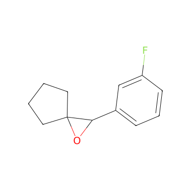 Fc1cccc(C2OC23CCCC3)c1